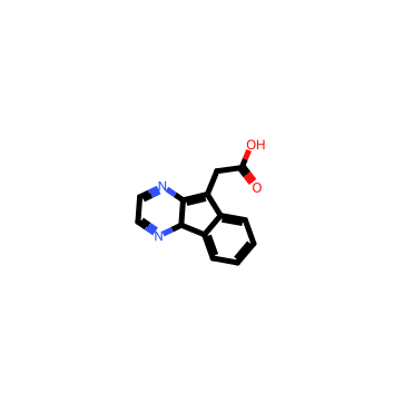 O=C(O)CC1=C2N=CC=NC2c2ccccc21